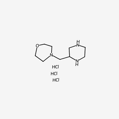 C1CNC(CN2CCOCC2)CN1.Cl.Cl.Cl